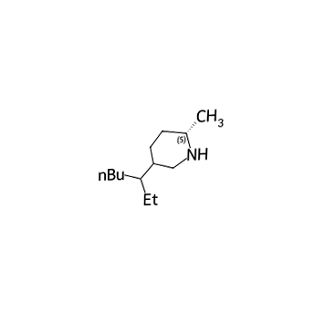 CCCCC(CC)C1CC[C@H](C)NC1